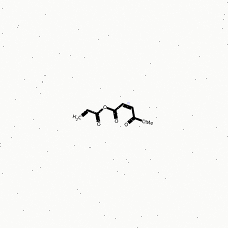 C=CC(=O)OC(=O)/C=C\C(=O)OC